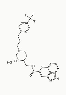 Cl.Cl.O=C(NCC1CCN(CCCc2ccc(C(F)(F)F)cc2)CC1)C1=Cc2n[nH]c3cccc(c23)S1